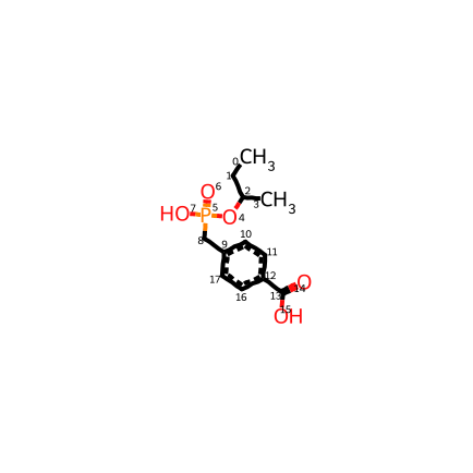 CCC(C)OP(=O)(O)Cc1ccc(C(=O)O)cc1